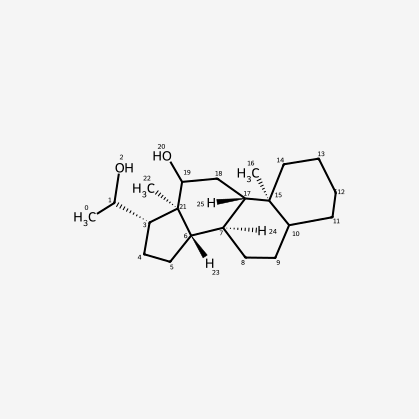 CC(O)[C@H]1CC[C@H]2[C@@H]3CCC4C[CH]CC[C@]4(C)[C@H]3CC(O)[C@]12C